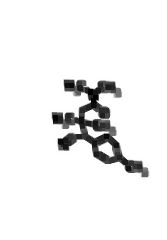 Cc1ccc(C(C#N)C(C)(C)CC(=O)N(C)C)cc1